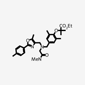 CCOC(=O)C(C)(C)Oc1c(C)cc(CN(CC(=O)NC)Cc2nc(-c3ccc(C)cc3)oc2C)cc1C